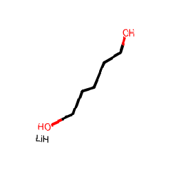 OCCCCCO.[LiH]